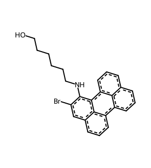 OCCCCCCNc1c(Br)cc2cccc3c4cccc5cccc(c1c23)c54